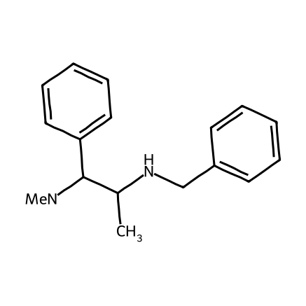 CNC(c1ccccc1)C(C)NCc1ccccc1